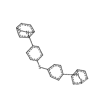 c1cc(N2Sc3ccc2cc3)ccc1Sc1ccc(N2Sc3ccc2cc3)cc1